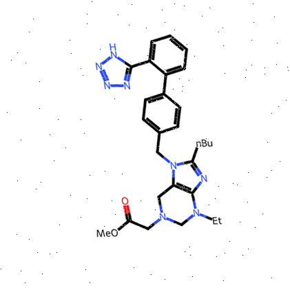 CCCCc1nc2c(n1Cc1ccc(-c3ccccc3-c3nnn[nH]3)cc1)CN(CC(=O)OC)CN2CC